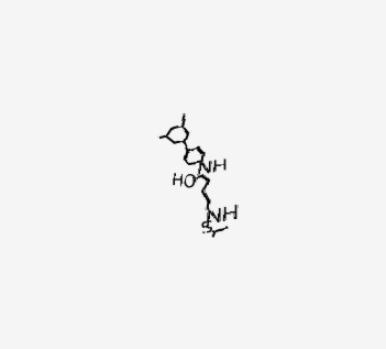 CC1CC(C)CC(C2=CCC(NC(O)CCCCNSC(C)C)C=C2)C1